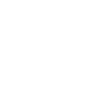 CSNCCCOCCOCCOCCCNC(C)C